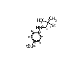 CCC(C)(C)CNc1ccc(C(C)(C)C)cc1